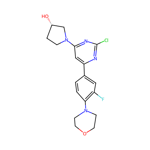 O[C@H]1CCN(c2cc(-c3ccc(N4CCOCC4)c(F)c3)nc(Cl)n2)C1